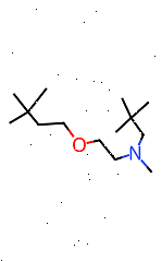 CN(CCOCCC(C)(C)C)CC(C)(C)C